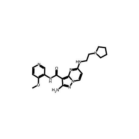 COc1ccncc1NC(=O)c1c(N)nn2ccc(NCCN3CCCC3)nc12